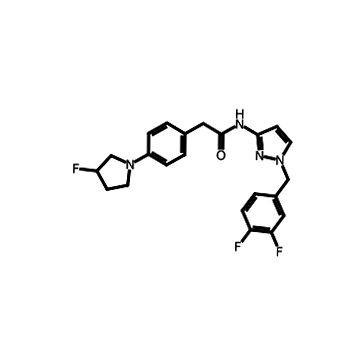 O=C(Cc1ccc(N2CCC(F)C2)cc1)Nc1ccn(Cc2ccc(F)c(F)c2)n1